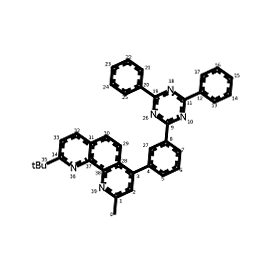 Cc1cc(-c2cccc(-c3nc(-c4ccccc4)nc(-c4ccccc4)n3)c2)c2ccc3ccc(C(C)(C)C)nc3c2n1